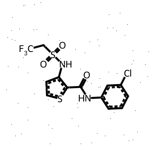 O=C(Nc1cccc(Cl)c1)c1sccc1NS(=O)(=O)CC(F)(F)F